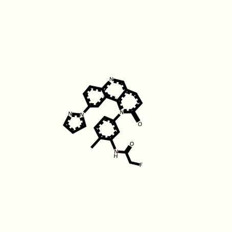 Cc1ccc(-n2c(=O)ccc3cnc4ccc(-n5cccn5)cc4c32)cc1NC(=O)CF